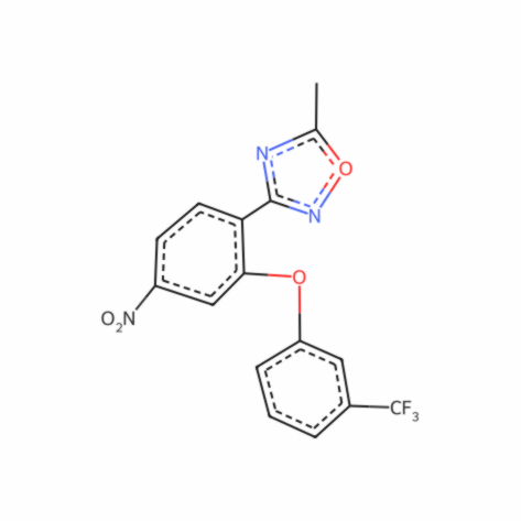 Cc1nc(-c2ccc([N+](=O)[O-])cc2Oc2cccc(C(F)(F)F)c2)no1